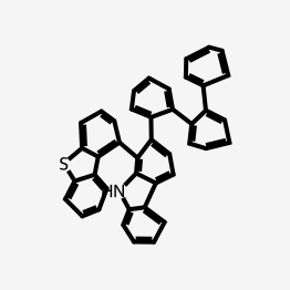 c1ccc(-c2ccccc2-c2ccccc2-c2ccc3c([nH]c4ccccc43)c2-c2cccc3sc4ccccc4c23)cc1